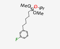 CO[Si](CCCCCc1cccc(F)c1)(OC)OC(C)C